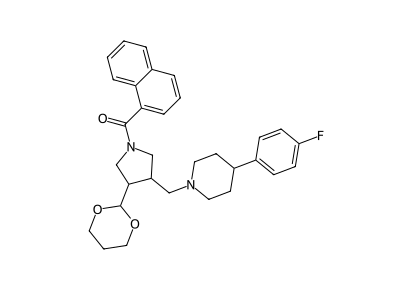 O=C(c1cccc2ccccc12)N1CC(CN2CCC(c3ccc(F)cc3)CC2)C(C2OCCCO2)C1